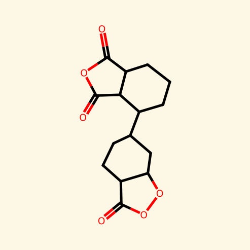 O=C1OOC2CC(C3CCCC4C(=O)OC(=O)C43)CCC12